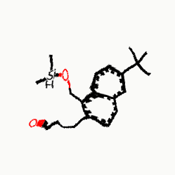 C[SiH](C)OCc1c(CCC=O)ccc2cc(C(C)(C)C)ccc12